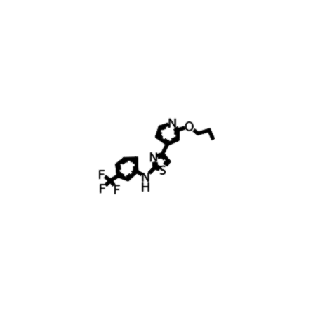 CCCOc1cc(-c2csc(Nc3cccc(C(F)(F)F)c3)n2)ccn1